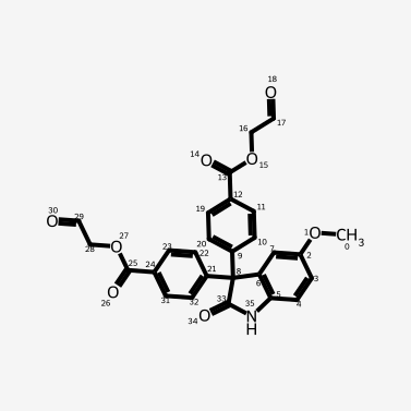 COc1ccc2c(c1)C(c1ccc(C(=O)OCC=O)cc1)(c1ccc(C(=O)OCC=O)cc1)C(=O)N2